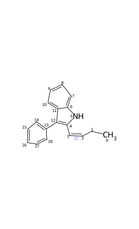 CC/C=C\c1[nH]c2ccccc2c1-c1ccccc1